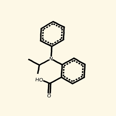 CC(C)N(c1ccccc1)c1ccccc1C(=O)O